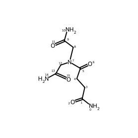 NC(=O)CCC(=O)N(CC(N)=O)CC(N)=O